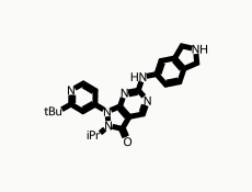 CC(C)n1c(=O)c2cnc(Nc3ccc4c(c3)CNC4)nc2n1-c1ccnc(C(C)(C)C)c1